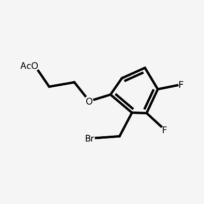 CC(=O)OCCOc1ccc(F)c(F)c1CBr